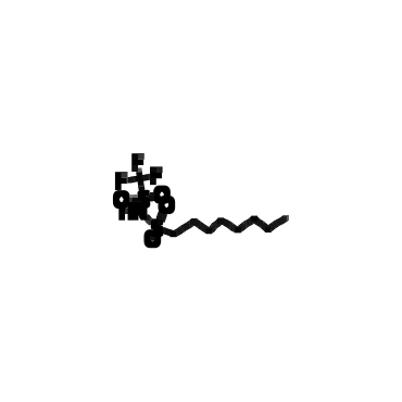 CCCCCCCCS(=O)(=O)NS(=O)(=O)C(F)(F)F